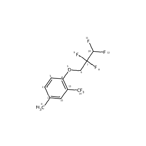 Cc1ccc(OCC(F)(F)C(F)F)c(C(F)(F)F)c1